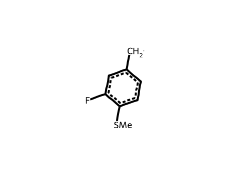 [CH2]c1ccc(SC)c(F)c1